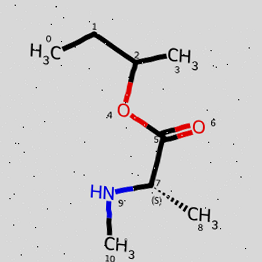 CCC(C)OC(=O)[C@H](C)NC